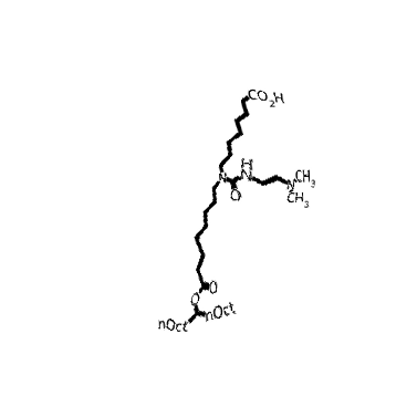 CCCCCCCCC(CCCCCCCC)OC(=O)CCCCCCCN(CCCCCCCC(=O)O)C(=O)NCCN(C)C